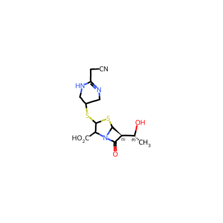 C[C@@H](O)[C@H]1C(=O)N2C(C(=O)O)C(SC3CN=C(CC#N)NC3)SC12